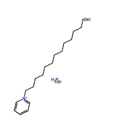 Br.CCCCCCCCCCCCCCCCCCCCCC[n+]1ccccc1.N